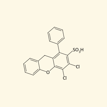 O=S(=O)(O)c1c(Cl)c(Cl)c2c(c1-c1ccccc1)Cc1ccccc1O2